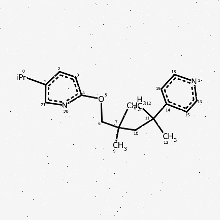 CC(C)c1ccc(OCC(C)(C)CC(C)(C)c2ccncc2)nc1